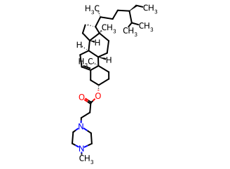 CC[C@H](CC[C@@H](C)[C@H]1CC[C@H]2[C@@H]3CC=C4C[C@@H](OC(=O)CCN5CCN(C)CC5)CC[C@]4(C)[C@H]3CC[C@]12C)C(C)C